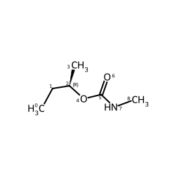 CC[C@@H](C)OC(=O)NC